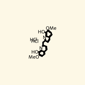 COc1ccc2ccc(Cc3ccc4ccc(OC)c(O)c4n3)nc2c1O.Cl.Cl